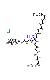 CCCCCCCC/C=C\CCCCCCCCC(N)(CCCCCCCC/C=C\CCCCCCCC)CCCCCCCC/C=C\CCCCCCCC.Cl